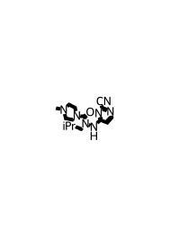 CC(C)CN(Nc1ccnc(C#N)n1)C(=O)N1CCN(C)CC1